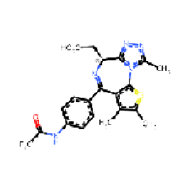 Cc1sc2c(c1C)C(c1ccc(NC(=O)C(F)(F)F)cc1)=N[C@@H](CC(=O)O)c1nnc(C)n1-2